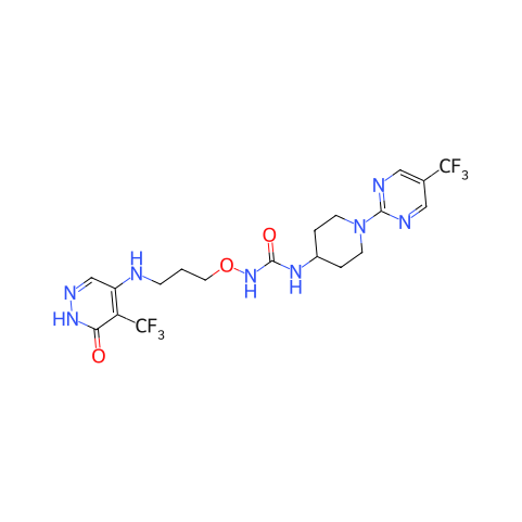 O=C(NOCCCNc1cn[nH]c(=O)c1C(F)(F)F)NC1CCN(c2ncc(C(F)(F)F)cn2)CC1